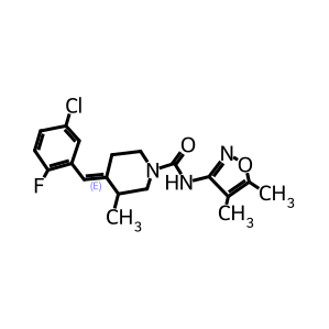 Cc1onc(NC(=O)N2CC/C(=C\c3cc(Cl)ccc3F)C(C)C2)c1C